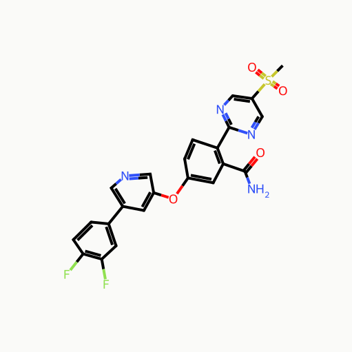 CS(=O)(=O)c1cnc(-c2ccc(Oc3cncc(-c4ccc(F)c(F)c4)c3)cc2C(N)=O)nc1